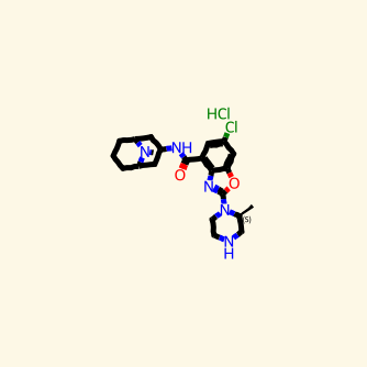 C[C@H]1CNCCN1c1nc2c(C(=O)NC3CC4CCCC(C3)N4C)cc(Cl)cc2o1.Cl